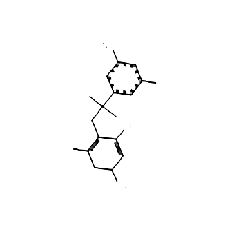 CC(C)(CC1=C(F)CC(C(C)(C)C)C=C1C(F)(F)F)c1cc(Cl)cc(C#N)c1